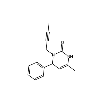 CC#CCN1C(=O)NC(C)=CC1c1ccccc1